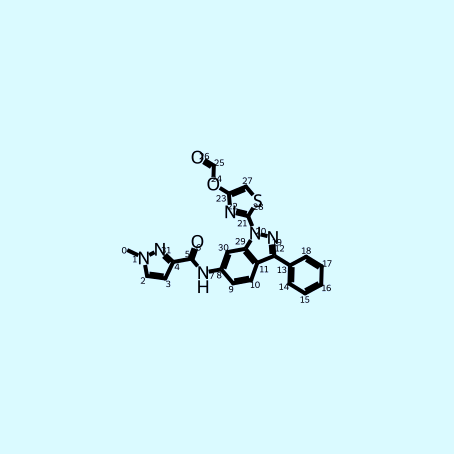 Cn1ccc(C(=O)Nc2ccc3c(-c4ccccc4)nn(-c4nc(OC=O)cs4)c3c2)n1